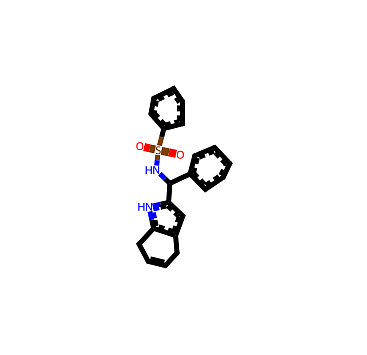 O=S(=O)(NC(c1ccccc1)c1cc2c([nH]1)CC=CC2)c1ccccc1